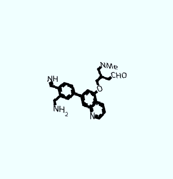 CNCC(CC=O)COc1cc(-c2ccc(C=N)c(CN)c2)cc2ncccc12